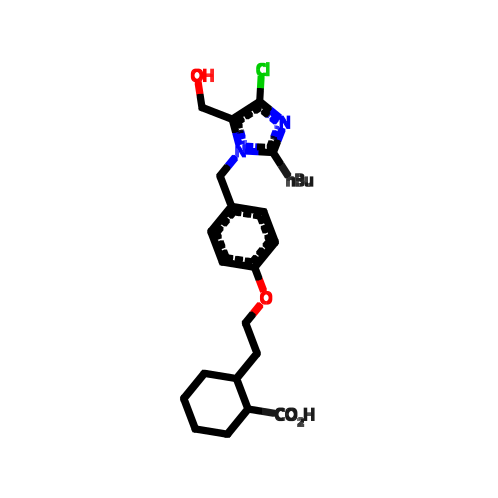 CCCCc1nc(Cl)c(CO)n1Cc1ccc(OCCC2CCCCC2C(=O)O)cc1